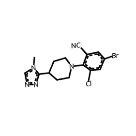 Cn1cnnc1C1CCN(c2c(Cl)cc(Br)cc2C#N)CC1